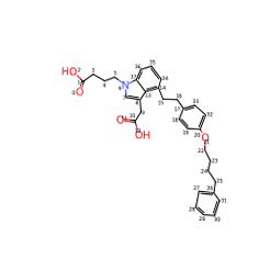 O=C(O)CCCn1cc(CC(=O)O)c2c(CCc3ccc(OCCCCc4ccccc4)cc3)cccc21